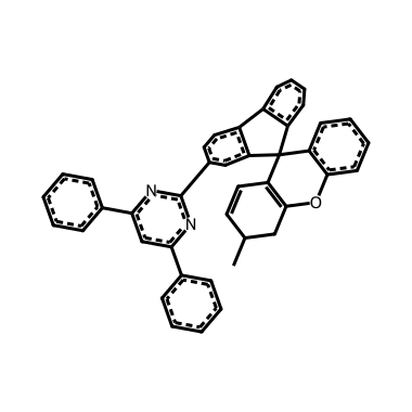 CC1C=CC2=C(C1)Oc1ccccc1C21c2ccccc2-c2ccc(-c3nc(-c4ccccc4)cc(-c4ccccc4)n3)cc21